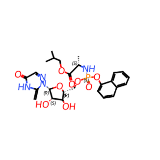 C=C1NC(=O)C=NN1[C@@H]1O[C@H](CO[P@@](=O)(N[C@@H](C)C(=O)OCC(C)C)Oc2cccc3ccccc23)C(O)[C@@H]1O